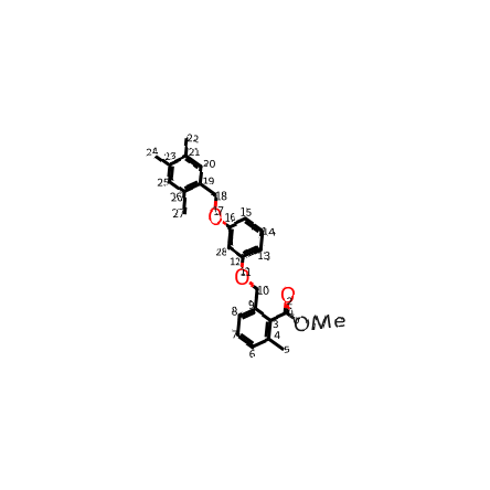 COC(=O)c1c(C)cccc1COc1cccc(OCc2cc(C)c(C)cc2C)c1